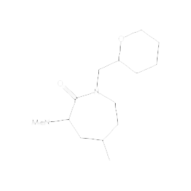 CNC1CC(C)CCN(CC2CCCCO2)C1=O